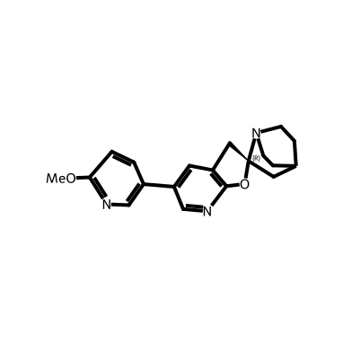 COc1ccc(-c2cnc3c(c2)C[C@@]2(CC4CCN2CC4)O3)cn1